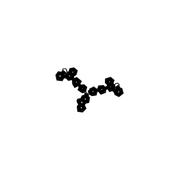 CC1(C)c2ccccc2-c2ccc(N(c3ccc(-c4ccc(-c5cc6c7ccccc7oc6c6ccccc56)cc4)cc3)c3ccc(-c4ccc(-c5cc6c7ccccc7oc6c6ccccc56)cc4)cc3)cc21